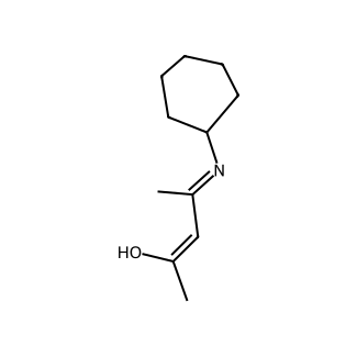 C/C(O)=C/C(C)=N/C1CCCCC1